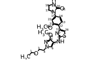 CCOCCn1cc(Nc2nc(-c3ccc(N4CCNC4=O)cc3OC)cs2)c(OC)n1